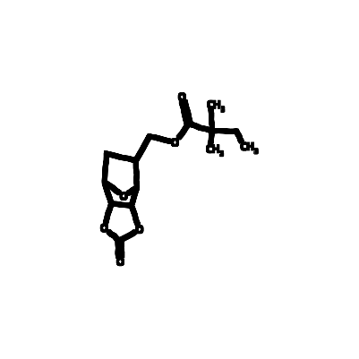 CCC(C)(C)C(=O)OCC1CC2OC1C1OC(=O)OC21